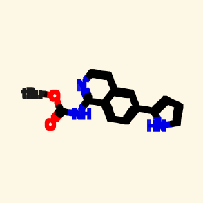 CC(C)(C)OC(=O)Nc1nccc2cc(-c3ccc[nH]3)ccc12